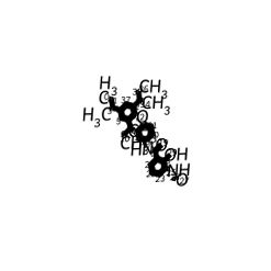 CCC(C)c1cc(C(C)CC)c(Oc2ccc(NC(=O)c3cccc(NC=O)c3O)cc2)c(C(C)CC)c1